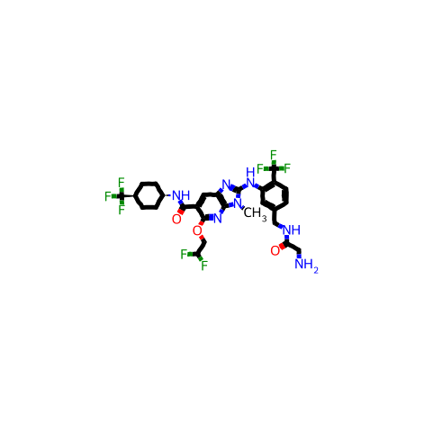 Cn1c(Nc2cc(CNC(=O)CN)ccc2C(F)(F)F)nc2cc(C(=O)N[C@H]3CC[C@H](C(F)(F)F)CC3)c(OCC(F)F)nc21